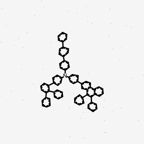 c1ccc(-c2ccc(-c3ccc(N(c4ccc(-c5ccc6c(c5)c(-c5ccccc5)c(-c5ccccc5)c5ccccc56)cc4)c4ccc(-c5cccc(-c6ccccc6)c5-c5ccccc5)cc4)cc3)cc2)cc1